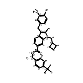 Cc1c(Cc2ccc(F)c(O)c2)c2ccc(C(=O)N[C@@H](C)c3ccc(C(C)(C)C)cc3)cc2n1CC1CCC1